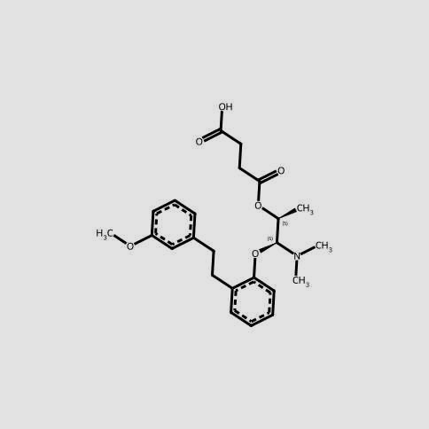 COc1cccc(CCc2ccccc2O[C@@H]([C@H](C)OC(=O)CCC(=O)O)N(C)C)c1